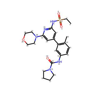 CCS(=O)(=O)Nc1cc(-c2cc(NC(=O)N3CCCC3)ccc2C)cc(N2CCOCC2)n1